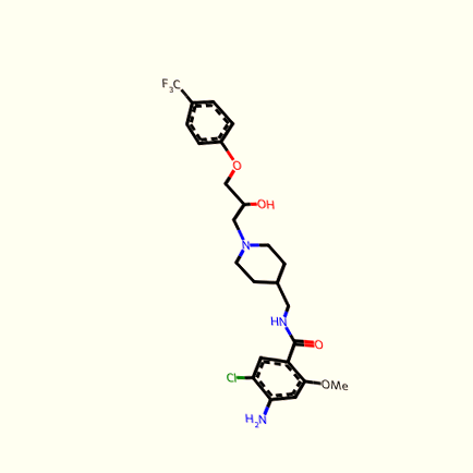 COc1cc(N)c(Cl)cc1C(=O)NCC1CCN(CC(O)COc2ccc(C(F)(F)F)cc2)CC1